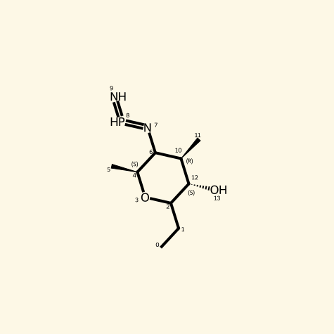 CCC1O[C@@H](C)C(N=[PH]=N)[C@@H](C)[C@@H]1O